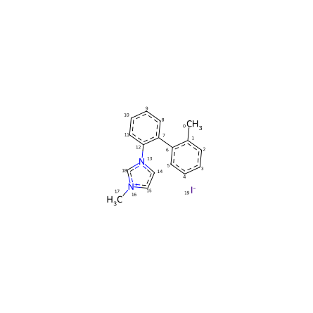 Cc1ccccc1-c1ccccc1-n1cc[n+](C)c1.[I-]